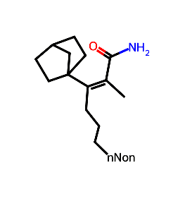 CCCCCCCCCCCCC(=C(C)C(N)=O)C12CCC(CC1)C2